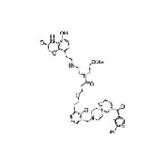 COCCN(CCNCCc1ccc(O)c2c1OCC(=O)N2)C(=O)CCOCCc1cccc(CN2CCC3(CC2)CN(C(=O)c2csc(C(C)C)n2)CCO3)c1Cl